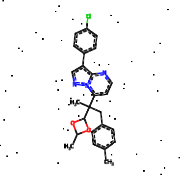 Cc1ccc(CC(C)(c2ccnc3c(-c4ccc(Cl)cc4)cnn23)C2OC(C)O2)cc1